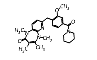 COc1cc(C(=O)N2CCCCC2)ccc1Cc1ccc2c(n1)N(C)C(C)=C(C)C(=O)N2C